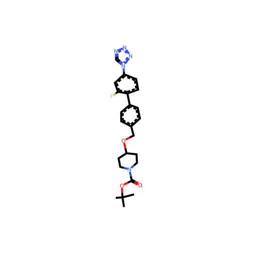 CC(C)(C)OC(=O)N1CCC(OCc2ccc(-c3ccc(-n4cnnn4)cc3F)cc2)CC1